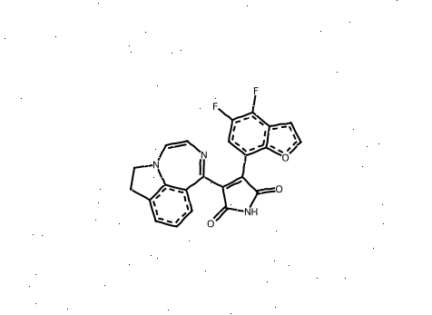 O=C1NC(=O)C(c2cc(F)c(F)c3ccoc23)=C1C1=NC=CN2CCc3cccc1c32